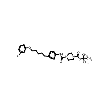 CC(C)(C)OC(=O)N1CCN(C(=O)Nc2ccc(CCCCCOc3cccc(Cl)c3)cc2)CC1